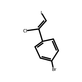 ClC(=CI)c1ccc(Br)cc1